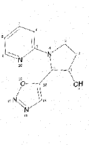 OC1CCN(c2ccccn2)C1c1cnno1